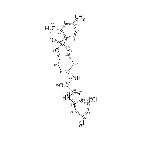 Cc1ccc(S(=O)(=O)OC2CCC(NC(=O)c3cc4c(Cl)cc(Cl)cc4[nH]3)CC2)c(C)c1